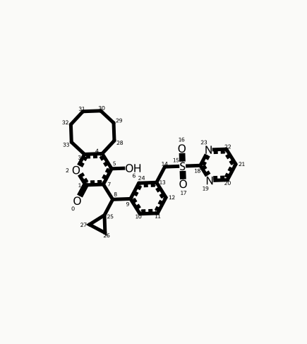 O=c1oc2c(c(O)c1C(c1cccc(CS(=O)(=O)c3ncccn3)c1)C1CC1)CCCCCC2